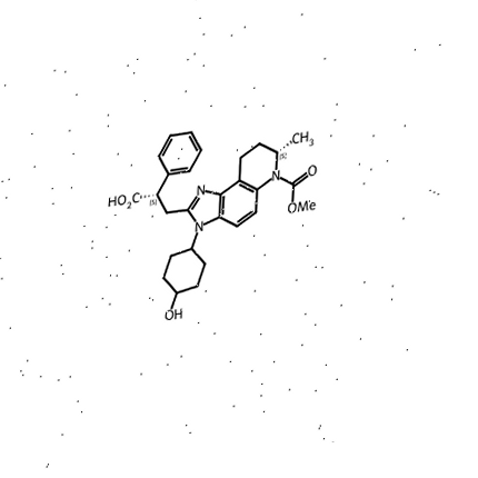 COC(=O)N1c2ccc3c(nc(C[C@H](C(=O)O)c4ccccc4)n3C3CCC(O)CC3)c2CC[C@@H]1C